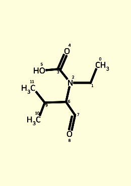 CCN(C(=O)O)C(C=O)C(C)C